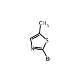 Cc1cnc(Br)s1